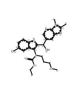 CCOC(=O)N(CCCOC)c1c(C(O)c2cnc3c(c2)nc(C)n3C)oc2ccc(Cl)cc12